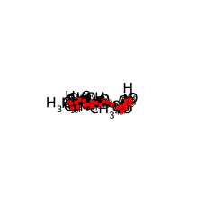 Cc1cc(Nc2ncc(Cl)c(Nc3ccccc3S(=O)(=O)C(C)C)n2)c(OC(C)C)cc1C1CCN(C(=O)CCCCCSc2cccc3c2CN(C2CCC(=O)NC2=O)C3=O)CC1